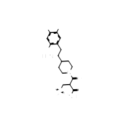 NC(=O)C(CS(=O)(=O)O)C(=O)N1CCC([C@H](N)Cc2cc(F)c(F)cc2F)CC1